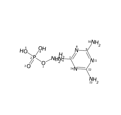 NOP(=O)(O)O.Nc1nc(N)nc(N)n1